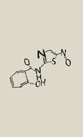 O=Nc1cnc(NC(=O)c2ccccc2O)s1